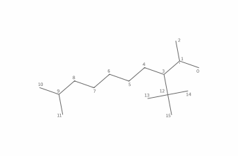 C[C](C)C(CCCCCC(C)C)C(C)(C)C